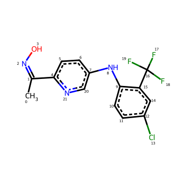 C/C(=N/O)c1ccc(Nc2ccc(Cl)cc2C(F)(F)F)cn1